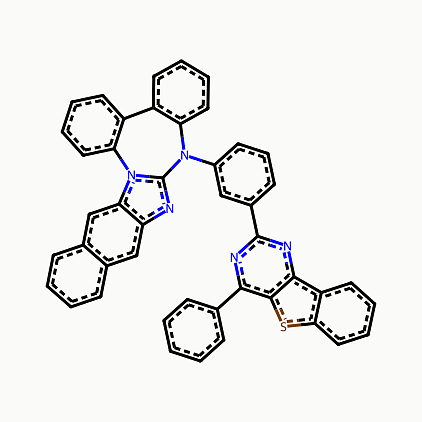 c1ccc(-c2nc(-c3cccc(N4c5ccccc5-c5ccccc5-n5c4nc4cc6ccccc6cc45)c3)nc3c2sc2ccccc23)cc1